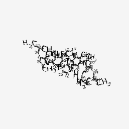 CC(C)=Cc1cc(C)n(-c2cc(F)[c]([Ti]([C]3=CC=CC3)([C]3=CC=CC3)[c]3c(F)cc(-n4c(C)cc(C=C(C)C)c4C)c(C)c3F)c(F)c2C)c1C